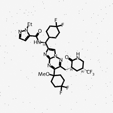 CCn1nccc1C(=O)N[C@H](c1cn2nc(C[C@H]3C[C@@H](C(F)(F)F)CNC3=O)c(C3(OC)CCC(F)(F)CC3)nc2n1)C1CCC(F)(F)CC1